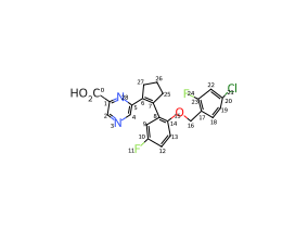 O=C(O)c1cncc(C2=C(c3cc(F)ccc3OCc3ccc(Cl)cc3F)CCC2)n1